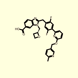 Cc1ccc(COc2cccc(-c3cc(F)c(Cc4nc5ccc(C(=O)O)cc5n4C[C@@H]4CCO4)cc3F)n2)cn1